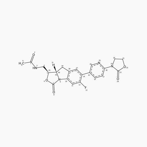 CC(=O)NC[C@@H]1OC(=O)N2c3cc(F)c(-c4ccc(N5CCOC5=O)nc4)cc3C[C@@H]12